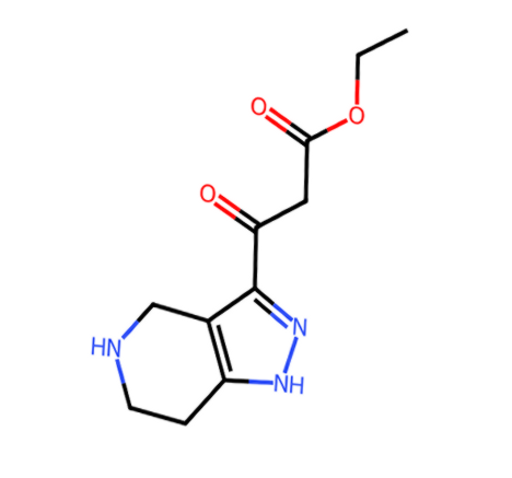 CCOC(=O)CC(=O)c1n[nH]c2c1CNCC2